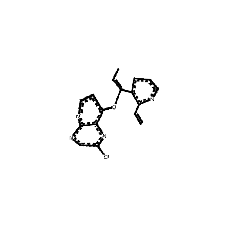 C=Cc1ncccc1/C(=C\C)Oc1ccnc2ncc(Cl)nc12